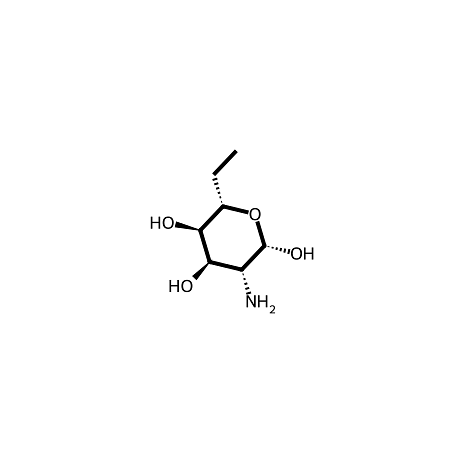 CC[C@@H]1O[C@H](O)[C@H](N)[C@@H](O)[C@H]1O